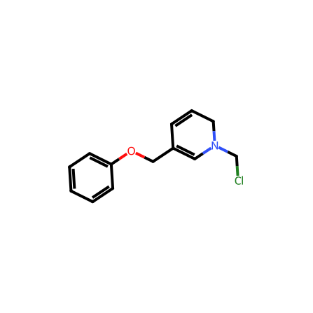 ClCN1C=C(COc2ccccc2)C=CC1